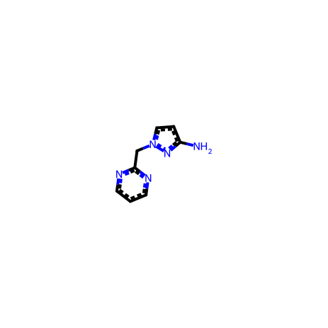 Nc1ccn(Cc2ncccn2)n1